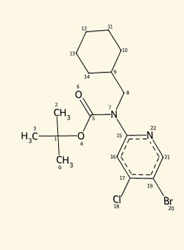 CC(C)(C)OC(=O)N(CC1CCCCC1)c1cc(Cl)c(Br)cn1